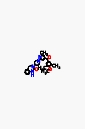 COc1c(C)cc(C(=O)c2cc(C)nc(N3CCC(N4CCc5ccccc5NC4=O)CC3)c2)cc1C